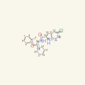 O=C(N[C@@H](Cc1ccccc1)C(=O)N1CC=CCC1)c1cc2cc(Cl)ncc2[nH]1